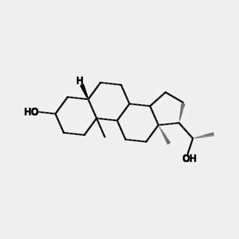 C[C@H](O)[C@H]1CCC2C3CC[C@H]4CC(O)CCC4(C)C3CC[C@@]21C